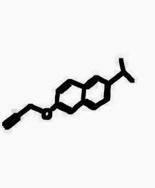 C#CCOc1ccc2cc(C(C)C)ccc2c1